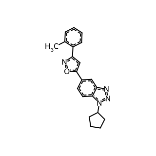 Cc1ccccc1-c1cc(-c2ccc3c(c2)nnn3C2CCCC2)on1